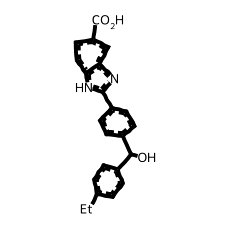 CCc1ccc(C(O)c2ccc(-c3nc4cc(C(=O)O)ccc4[nH]3)cc2)cc1